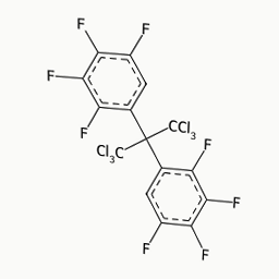 Fc1cc(C(c2cc(F)c(F)c(F)c2F)(C(Cl)(Cl)Cl)C(Cl)(Cl)Cl)c(F)c(F)c1F